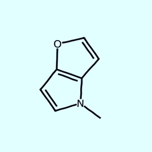 Cn1ccc2occc21